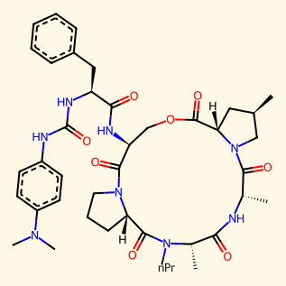 CCCN1C(=O)[C@@H]2CCCN2C(=O)[C@@H](NC(=O)[C@H](Cc2ccccc2)NC(=O)Nc2ccc(N(C)C)cc2)COC(=O)[C@@H]2C[C@@H](C)CN2C(=O)[C@H](C)NC(=O)[C@@H]1C